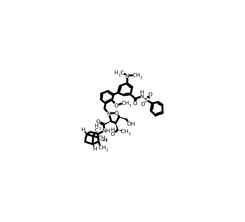 COc1c(CN2O[C@@H](CO)[C@@H]([C@H](C)O)[C@H]2C(=O)NC2C[C@H]3C[C@@H]([C@@H]2C)C3(C)C)cccc1-c1cc(C(=O)NS(=O)(=O)c2ccccc2)cc(N(C)C)c1